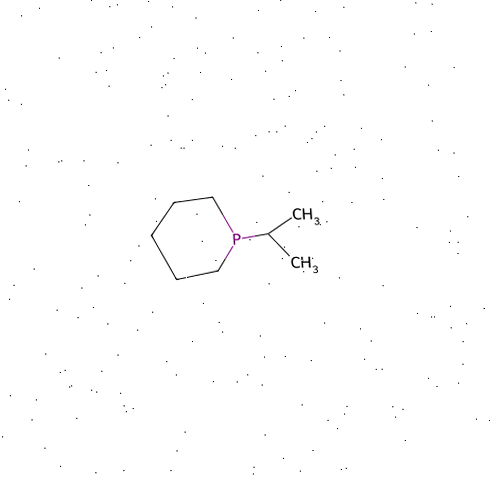 CC(C)P1CCCCC1